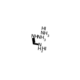 I.I.N.N.N=CN